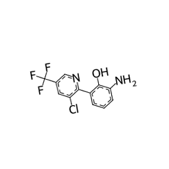 Nc1cccc(-c2ncc(C(F)(F)F)cc2Cl)c1O